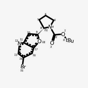 CC(C)(C)OC(=O)N1CCC[C@H]1c1cc2ncc(Br)cc2o1